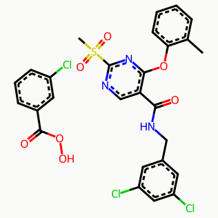 Cc1ccccc1Oc1nc(S(C)(=O)=O)ncc1C(=O)NCc1cc(Cl)cc(Cl)c1.O=C(OO)c1cccc(Cl)c1